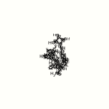 CSCC[C@H](NC(=O)[C@H](CC(C)C)NC(=O)[C@H](Cc1c[nH]cn1)NC(=O)CNC(=O)[C@@H](NC(=O)[C@H](C)NC(=O)[C@H](Cc1c[nH]c2ccccc12)NC(=O)[C@H](CCC(N)=O)NC(=O)CC[C@@H](C)[C@H]1CC[C@H]2[C@@H]3CC[C@@H]4C[C@@H](NC(=O)CNC(=O)CN5CCN(CC(=O)O)CCN(CC(=O)O)CCN(CC(=O)O)CC5)CC[C@]4(C)[C@H]3CC(=O)[C@]12C)C(C)C)C(N)=O